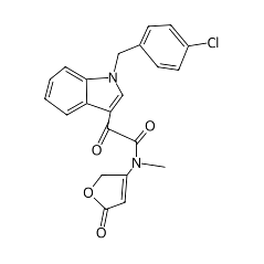 CN(C(=O)C(=O)c1cn(Cc2ccc(Cl)cc2)c2ccccc12)C1=CC(=O)OC1